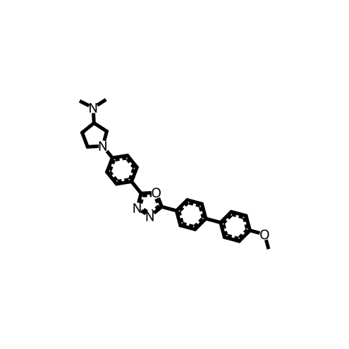 COc1ccc(-c2ccc(-c3nnc(-c4ccc(N5CCC(N(C)C)C5)cc4)o3)cc2)cc1